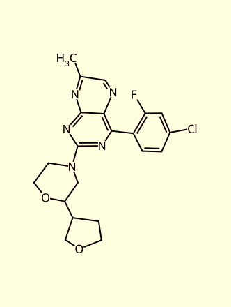 Cc1cnc2c(-c3ccc(Cl)cc3F)nc(N3CCOC(C4CCOC4)C3)nc2n1